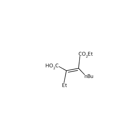 CCCC/C(C(=O)OCC)=C(\CC)C(=O)O